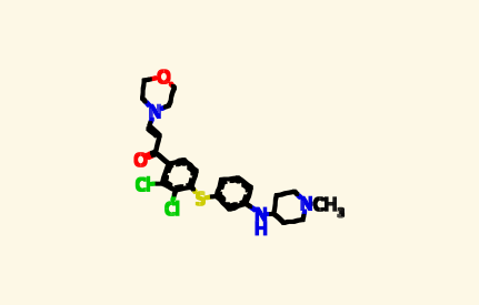 CN1CCC(Nc2cccc(Sc3ccc(C(=O)C=CN4CCOCC4)c(Cl)c3Cl)c2)CC1